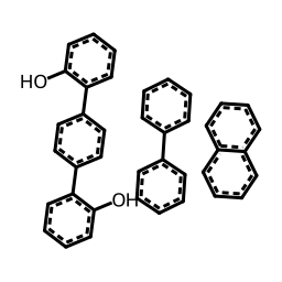 Oc1ccccc1-c1ccc(-c2ccccc2O)cc1.c1ccc(-c2ccccc2)cc1.c1ccc2ccccc2c1